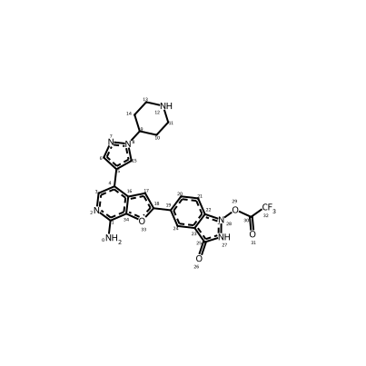 Nc1ncc(-c2cnn(C3CCNCC3)c2)c2cc(-c3ccc4c(c3)c(=O)[nH]n4OC(=O)C(F)(F)F)oc12